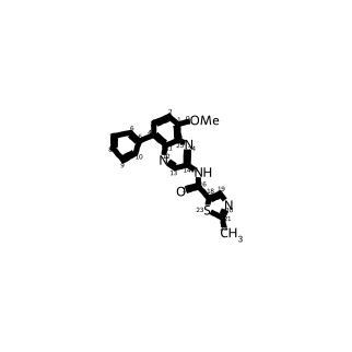 COc1ccc(-c2ccccc2)c2ncc(NC(=O)c3cnc(C)s3)nc12